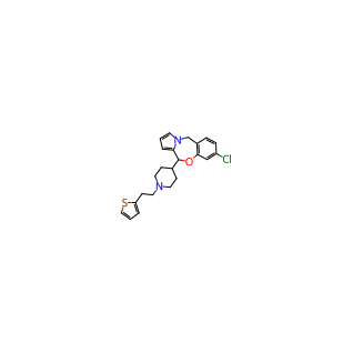 Clc1ccc2c(c1)OC(C1CCN(CCc3cccs3)CC1)c1cccn1C2